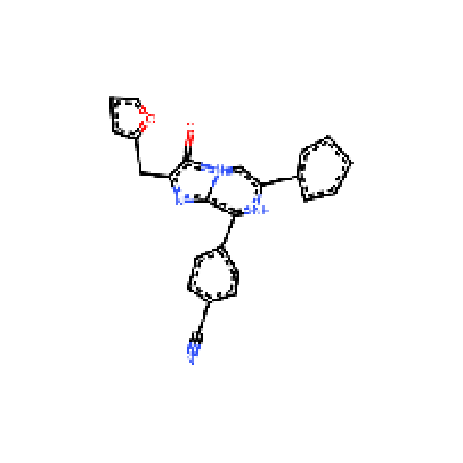 N#Cc1ccc(-c2[nH]c(-c3ccccc3)cn3c(=O)c(Cc4ccco4)nc2-3)cc1